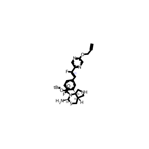 C#CCOc1cnc(/C(F)=C/c2ccc(F)c([C@]34CNC[C@@H]3CS[C@@H](N)N4C(=O)OC(C)(C)C)c2)cn1